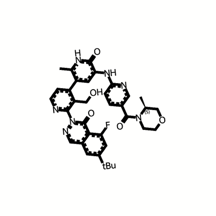 Cc1[nH]c(=O)c(Nc2ccc(C(=O)N3CCOC[C@@H]3C)cn2)cc1-c1ccnc(-n2ncc3cc(C(C)(C)C)cc(F)c3c2=O)c1CO